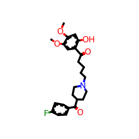 COc1cc(O)c(C(=O)CCCCN2CCC(C(=O)c3ccc(F)cc3)CC2)cc1OC